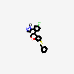 Cn1nccc1-c1cc(Cl)ccc1C1CCOc2cc(SCc3ccccc3)ccc21